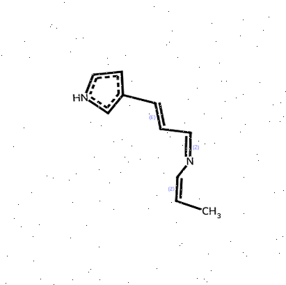 C\C=C/N=C\C=C\c1cc[nH]c1